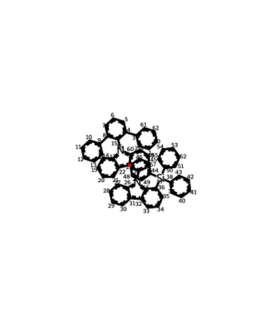 c1ccc(-c2cccc(-c3ccccc3)c2-n2c3ccccc3c3c(-n4c5ccccc5c5cccc([Si](c6ccccc6)(c6ccccc6)c6ccccc6)c54)cccc32)cc1